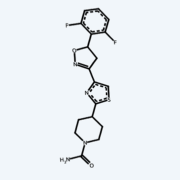 NC(=O)N1CCC(c2nc(C3=NOC(c4c(F)cccc4F)C3)cs2)CC1